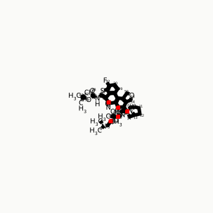 CN(C)CCOc1nc(N2C3CCC2CN(C(=O)OC(C)(C)C)C3)c2c3c(c(-c4ccc(F)c5sc(NC(=O)OC(C)(C)C)c(C#N)c45)c(Cl)c2n1)COC3